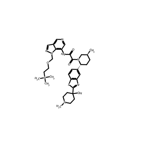 C[C@H]1CC[C@H](c2ccc3sc(C4(O)CCN(C)CC4)nc3c2)N(C(=O)C(=O)Nc2cncc3cnn(COCC[Si](C)(C)C)c23)C1